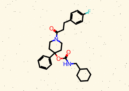 O=C(NCC1CCCCC1)OC1(c2ccccc2)CCN(C(=O)CCc2ccc(F)cc2)CC1